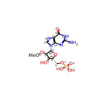 COOC1C(O)[C@@H](COP(=O)(O)O)O[C@H]1n1cnc2c(=O)[nH]c(N)nc21